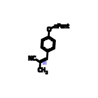 CCCCCOc1ccc(/C=C(/C)C#N)cc1